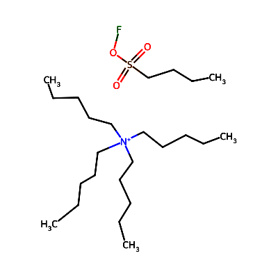 CCCCC[N+](CCCCC)(CCCCC)CCCCC.CCCCS(=O)(=O)OF